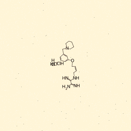 Cl.Cl.Cl.N=C(N)C(=N)NC/C=C\COc1cccc(CN2CCCCC2)c1